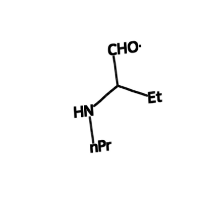 CCCNC([C]=O)CC